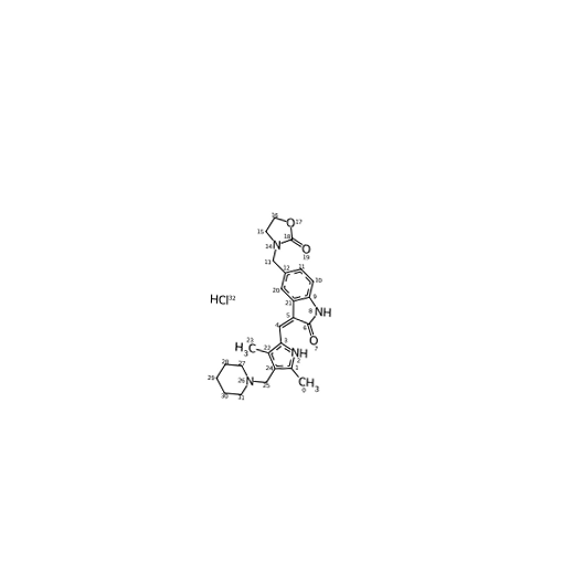 Cc1[nH]c(/C=C2\C(=O)Nc3ccc(CN4CCOC4=O)cc32)c(C)c1CN1CCCCC1.Cl